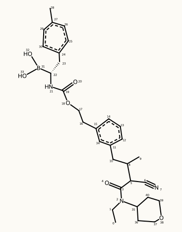 CCN(C(=O)C(C#N)C(C)Cc1cccc(CCOC(=O)N[C@@H](Cc2ccc(C)cc2)B(O)O)c1)C1CCOCC1